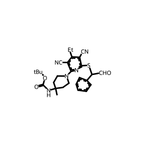 CCc1c(C#N)c(SC(C=O)c2ccccc2)nc(N2CCC(C)(NC(=O)OC(C)(C)C)CC2)c1C#N